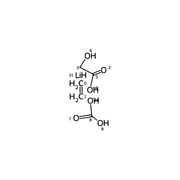 C=C.O=C(O)CO.O=C(O)O.[LiH]